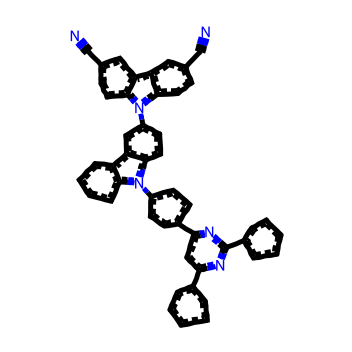 N#Cc1ccc2c(c1)c1cc(C#N)ccc1n2-c1ccc2c(c1)c1ccccc1n2-c1ccc(-c2cc(-c3ccccc3)nc(-c3ccccc3)n2)cc1